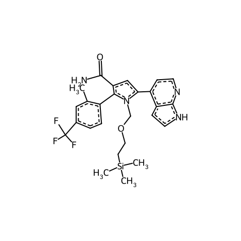 Cc1cc(C(F)(F)F)ccc1-c1c(C(N)=O)cc(-c2ccnc3[nH]ccc23)n1COCC[Si](C)(C)C